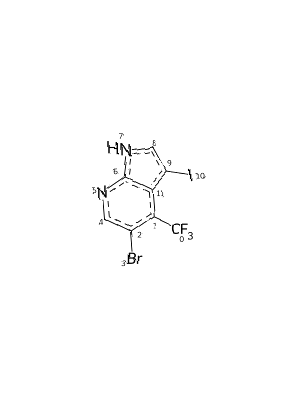 FC(F)(F)c1c(Br)cnc2[nH]cc(I)c12